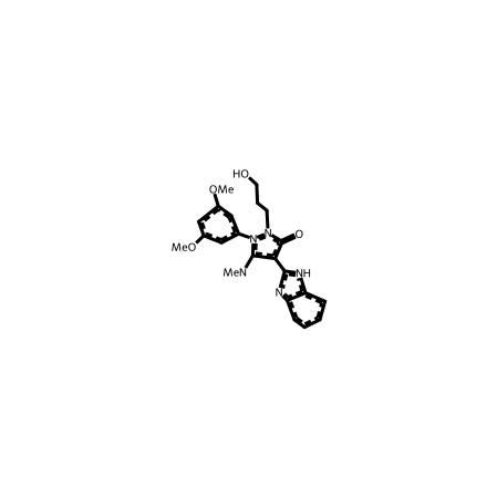 CNc1c(-c2nc3ccccc3[nH]2)c(=O)n(CCCO)n1-c1cc(OC)cc(OC)c1